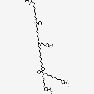 CCCCCCCCOC(=O)CCCCCCCN(CCO)CCCCCCCCCOC(=O)C(CCCCCC)CCCCCCCC